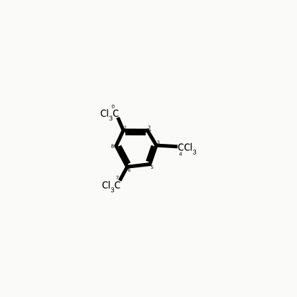 ClC(Cl)(Cl)c1[c]c(C(Cl)(Cl)Cl)cc(C(Cl)(Cl)Cl)c1